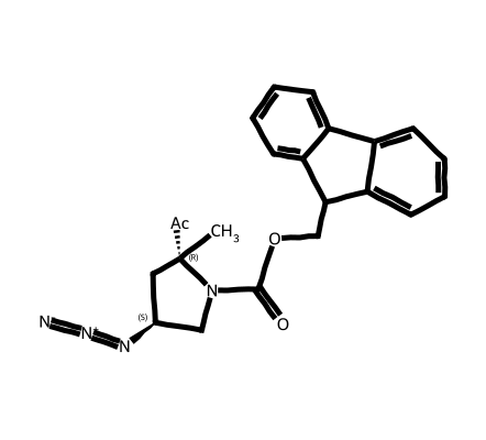 CC(=O)[C@@]1(C)C[C@H](N=[N+]=[N-])CN1C(=O)OCC1c2ccccc2-c2ccccc21